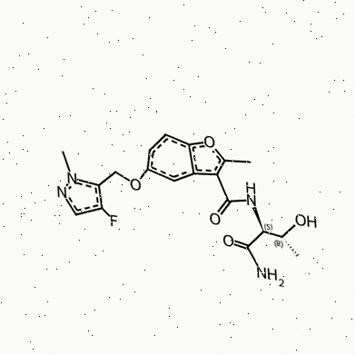 Cc1oc2ccc(OCc3c(F)cnn3C)cc2c1C(=O)N[C@H](C(N)=O)[C@@H](C)O